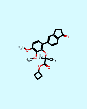 COc1ccc(-c2ccc3c(c2)CCC3=O)c(OC(C)(C)C(=O)OC2CCC2)c1OC